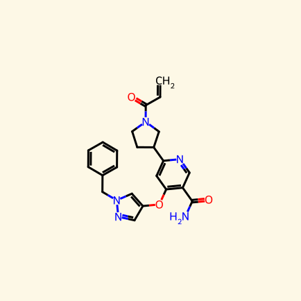 C=CC(=O)N1CCC(c2cc(Oc3cnn(Cc4ccccc4)c3)c(C(N)=O)cn2)C1